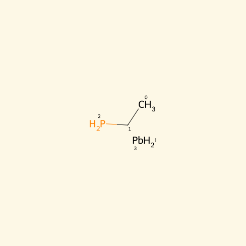 CCP.[PbH2]